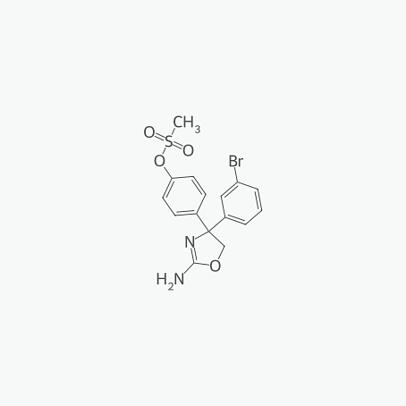 CS(=O)(=O)Oc1ccc(C2(c3cccc(Br)c3)COC(N)=N2)cc1